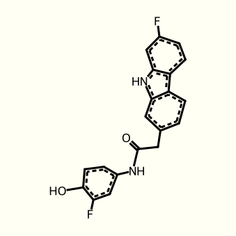 O=C(Cc1ccc2c(c1)[nH]c1cc(F)ccc12)Nc1ccc(O)c(F)c1